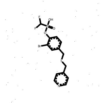 O=P(O)(Oc1ccc(CSCc2ccncc2)cc1Br)C(F)F